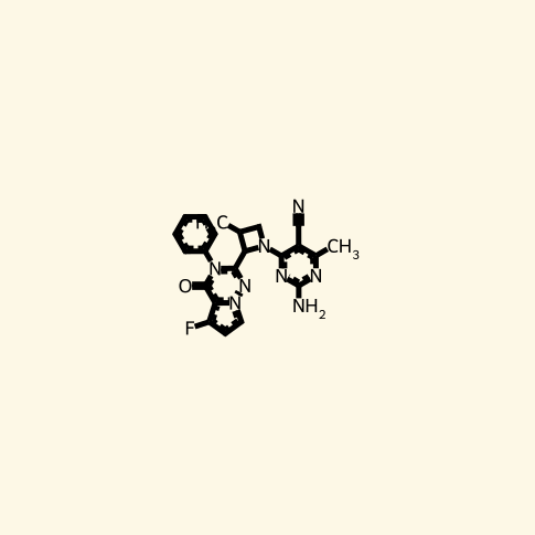 Cc1nc(N)nc(N2CC(C)C2c2nn3ccc(F)c3c(=O)n2-c2ccccc2)c1C#N